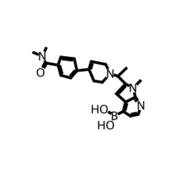 CC(c1cc2c(B(O)O)ccnc2n1C)N1CC=C(c2ccc(C(=O)N(C)C)cc2)CC1